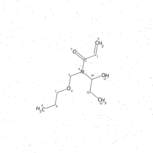 C=CC(=O)N(COCCC)C(O)CC